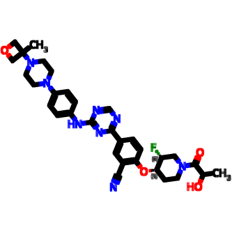 CC(O)C(=O)N1CC[C@H](Oc2ccc(-c3ncnc(Nc4ccc(N5CCN(C6(C)COC6)CC5)cc4)n3)cc2C#N)[C@H](F)C1